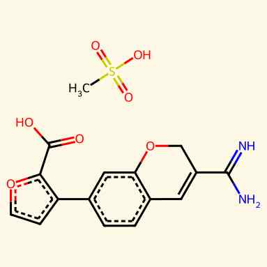 CS(=O)(=O)O.N=C(N)C1=Cc2ccc(-c3ccoc3C(=O)O)cc2OC1